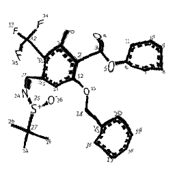 Cc1c(C(=O)Oc2ccccc2)c(OCc2ccccc2)cc(/C=N\[S@@+]([O-])C(C)(C)C)c1C(F)(F)F